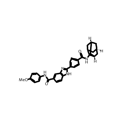 COc1ccc(NC(=O)c2ccc3[nH]c(-c4ccc(C(=O)NC5C6C[C@H]7C[C@@H](C6)C[C@@H]5C7)cc4)nc3c2)cc1